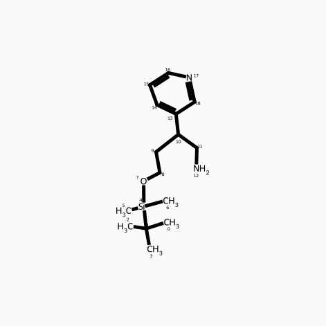 CC(C)(C)[Si](C)(C)OCCC(CN)c1cccnc1